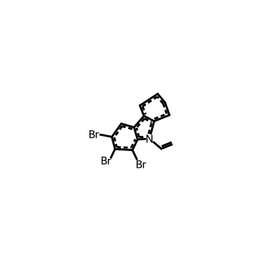 C=Cn1c2ccccc2c2cc(Br)c(Br)c(Br)c21